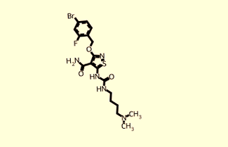 CN(C)CCCCNC(=O)Nc1snc(OCc2ccc(Br)cc2F)c1C(N)=O